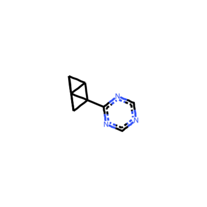 c1ncnc(C23C4C5C2C543)n1